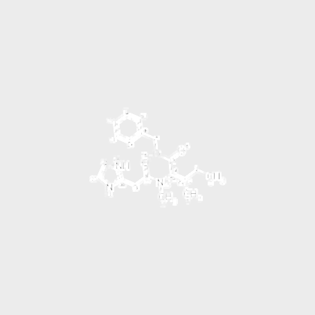 CC[C@H](C)[C@@H](C(=O)OCc1ccccc1)N(C)C(=O)Cc1ncc[nH]1